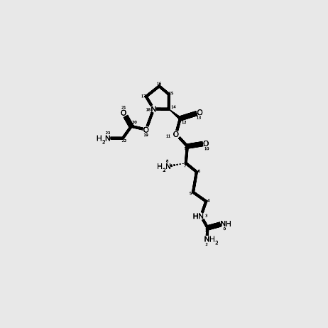 N=C(N)NCCC[C@H](N)C(=O)OC(=O)[C@@H]1CCCN1OC(=O)CN